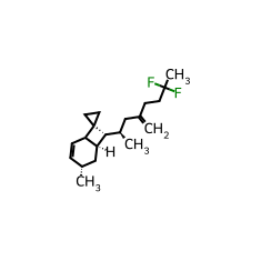 C=C(CCC(C)(F)F)C[C@@H](C)[C@@H]1[C@H]2C[C@H](C)C=CC2C12CC2